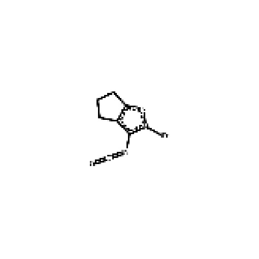 CC(C)n1nc2c(c1N=C=O)CCC2